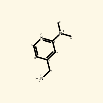 CN(C)c1cc(CN)ccn1